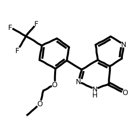 COCOc1cc(C(F)(F)F)ccc1-c1n[nH]c(=O)c2cnccc12